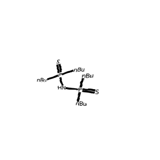 CCCCP(=S)(CCCC)NP(=S)(CCCC)CCCC